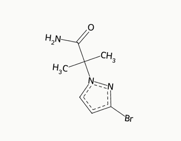 CC(C)(C(N)=O)n1ccc(Br)n1